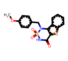 COc1ccc(CN2c3c(sc4ccccc34)C(=O)NS2(=O)=O)cc1